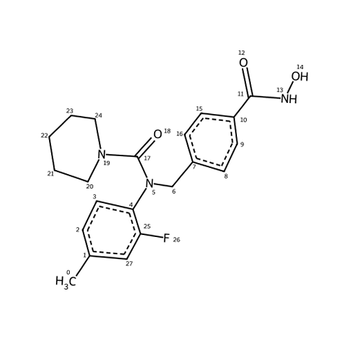 Cc1ccc(N(Cc2ccc(C(=O)NO)cc2)C(=O)N2CCCCC2)c(F)c1